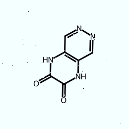 O=c1[nH]c2cnncc2[nH]c1=O